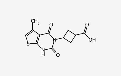 Cc1csc2[nH]c(=O)n(C3CC(C(=O)O)C3)c(=O)c12